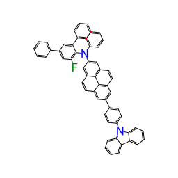 Fc1cc(-c2ccccc2)cc(-c2ccccc2)c1N(c1ccccc1)c1cc2ccc3cc(-c4ccc(-n5c6ccccc6c6ccccc65)cc4)cc4ccc(c1)c2c34